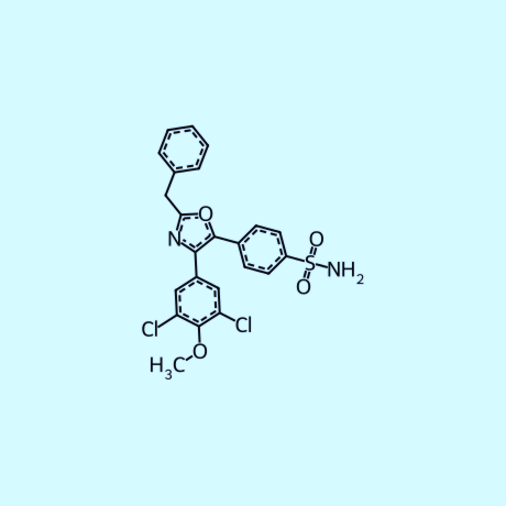 COc1c(Cl)cc(-c2nc(Cc3ccccc3)oc2-c2ccc(S(N)(=O)=O)cc2)cc1Cl